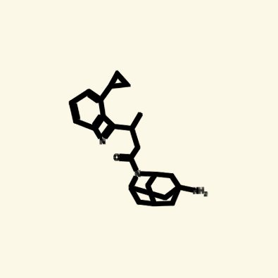 CC(CC(=O)N1C2CC3CC1CC(N)(C3)C2)C1=Nc2cccc(C3CC3)c21